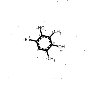 Cc1cc(C(C)(C)C)c([N+](=O)[O-])c(C)c1O